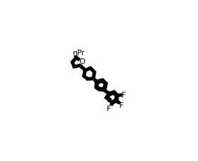 CCCC1CCC(C2CCC(c3ccc(-c4cc(F)c(F)c(F)c4)cc3)CC2)O1